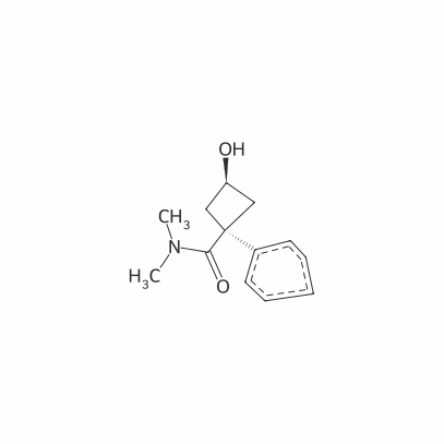 CN(C)C(=O)[C@]1(c2ccccc2)C[C@H](O)C1